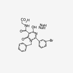 O=C(O)CNC(=O)c1c(O)nc(-c2cccc(Br)c2)n(Cc2ccccc2)c1=O.[NaH].[NaH]